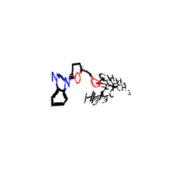 CC(C)(C)[Si](C)(C)OC[C@@H]1CC[C@H](n2cnc3ccccc32)O1